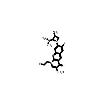 CN(C)C1C(N)CN1c1cc2nc3c(cc2cc1F)c(=O)c(C(=O)O)cn3CCF